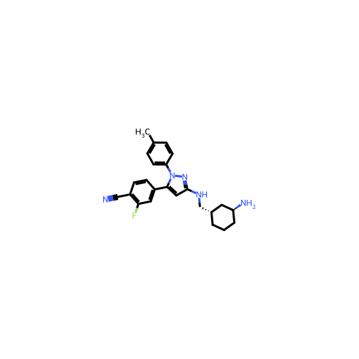 Cc1ccc(-n2nc(NC[C@H]3CCC[C@H](N)C3)cc2-c2ccc(C#N)c(F)c2)cc1